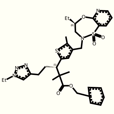 CC[C@@H]1CN(Cc2cc([C@@H](CCc3cn(CC)nn3)C(C)(C)C(=O)OCc3ccccc3)sc2C)S(=O)(=O)c2cccnc2O1